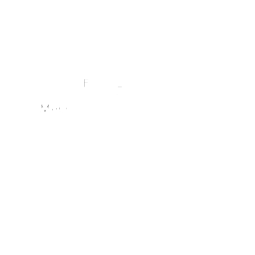 COc1cc2c(c(F)c1F)-c1c-2ccc(C2CCC(C)CC2)c1F